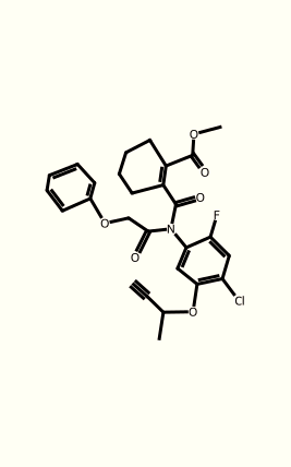 C#CC(C)Oc1cc(N(C(=O)COc2ccccc2)C(=O)C2=C(C(=O)OC)CCCC2)c(F)cc1Cl